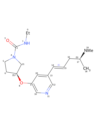 CCNC(=O)N1CC[C@H](Oc2cncc(/C=C/C[C@H](C)NC)c2)C1